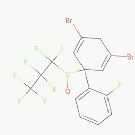 [O-][S+](C1(c2ccccc2F)C=C(Br)[CH]C(Br)=C1)C(F)(F)C(F)(F)C(F)(F)F